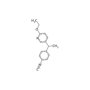 [C-]#[N+]c1ccc(C(C)c2ccc(OCC)nc2)cc1